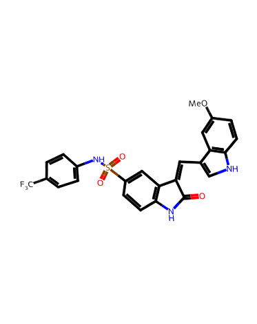 COc1ccc2[nH]cc(C=C3C(=O)Nc4ccc(S(=O)(=O)Nc5ccc(C(F)(F)F)cc5)cc43)c2c1